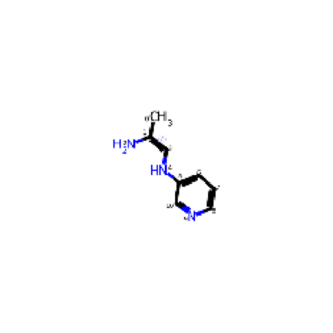 C/C(N)=C/Nc1cccnc1